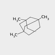 CC12C[C]3CC(C)(C1)CC(C)(C3)C2